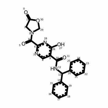 O=C1CN(C(=O)c2ncc(C(=O)NC(c3ccccc3)c3ccccc3)c(O)n2)CO1